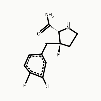 NC(=O)[C@@H]1NCC[C@]1(F)[CH]c1ccc(F)c(Cl)c1